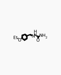 CCOc1ccc(C=NNC(N)=O)cc1